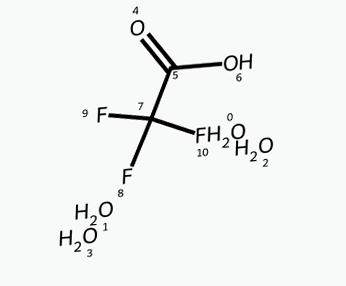 O.O.O.O.O=C(O)C(F)(F)F